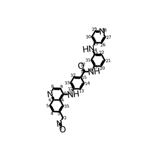 O=NCc1ccc2nccc(Nc3ccc(C(=O)Nc4cccc(Nc5ccncc5)c4)cc3)c2c1